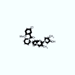 COc1ccc(Cl)cc1C(=O)N1CCCC[C@H]1c1cc2nc(N3C[C@@H](C)[C@@H](O)C3)c(C)cn2n1